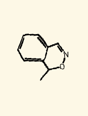 CC1ON=Cc2ccccc21